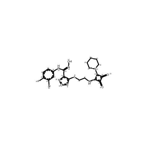 O=c1c(NCCSc2nonc2/C(=N/O)Nc2ccc(F)c(Br)c2)c(N2CCCCC2)c1=O